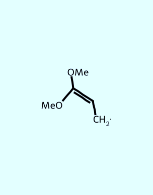 [CH2]C=C(OC)OC